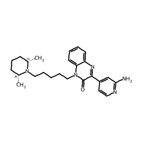 C[C@@H]1CCC[C@H](C)N1CCCCCn1c(=O)c(-c2ccnc(N)c2)nc2ccccc21